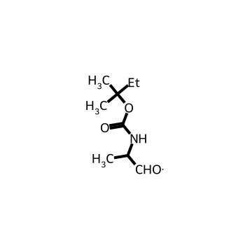 CCC(C)(C)OC(=O)NC(C)[C]=O